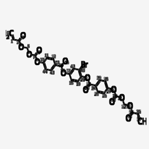 C=CC(=O)OCOC(=O)Oc1ccc(C(=O)Oc2ccc(OC(=O)c3ccc(OC(=O)OCOC(=O)C=C)cc3)c(Br)c2)cc1